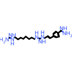 N=C(N)NCCCCCCCCNC(=N)NC/C=C/c1ccc(C(=N)N)cc1